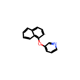 [c]1ccc2ccccc2c1Oc1cccnc1